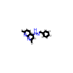 Cc1ccc2c(N/N=C/c3ccccc3)cc(C)nc2n1